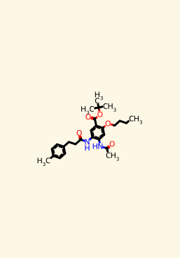 CCCCOc1cc(NC(C)=O)c(NC(=O)CCc2ccc(C)cc2)cc1C(=O)OC(C)(C)C